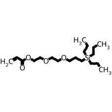 C=CC(=O)OCCOCCOCCC[Si](CCC)(CCC)CCC